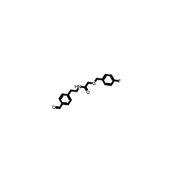 O=Cc1ccc(CCNC(=O)COCc2ccc(F)cc2)cc1